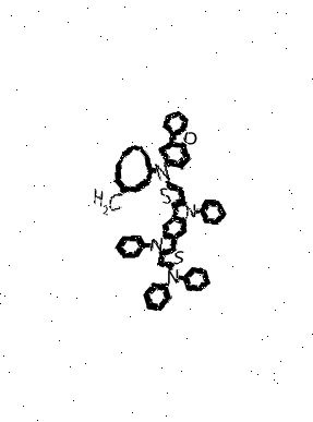 C=C1/C=C\C=C/C/C=C(N(c2ccc3oc4ccccc4c3c2)c2cc3c(s2)c2cc4c(cc2n3-c2ccccc2)c2sc(N(c3ccccc3)c3ccccc3)cc2n4-c2ccccc2)\C=C/1